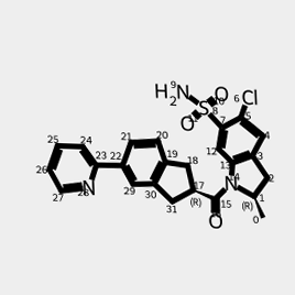 C[C@@H]1Cc2cc(Cl)c(S(N)(=O)=O)cc2N1C(=O)[C@@H]1Cc2ccc(-c3ccccn3)cc2C1